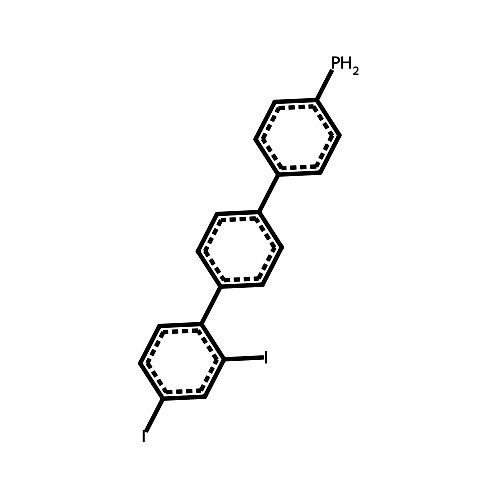 Pc1ccc(-c2ccc(-c3ccc(I)cc3I)cc2)cc1